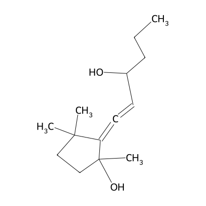 CCCC(O)C=C=C1C(C)(C)CCC1(C)O